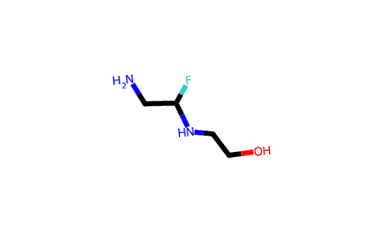 NCC(F)NCCO